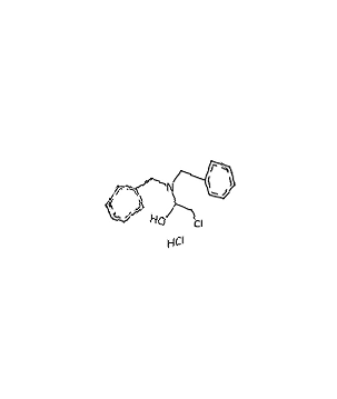 Cl.OC(CCl)N(Cc1ccccc1)Cc1ccccc1